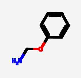 NCOc1cc[c]cc1